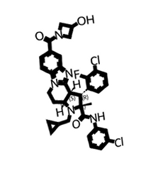 C[C@]1(C(=O)Nc2cccc(Cl)c2)[C@@H](c2cccc(Cl)c2F)[C@@H]2c3nc4cc(C(=O)N5CC(O)C5)ccc4n3CC[C@@H]2N1CC1CC1